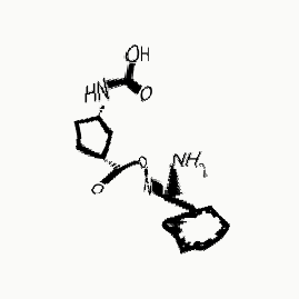 N/C(=N\OC(=O)[C@@H]1CC[C@H](NC(=O)O)C1)c1ccccc1